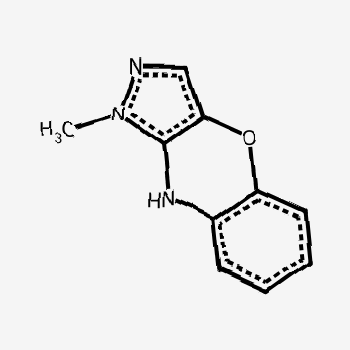 Cn1ncc2c1Nc1ccccc1O2